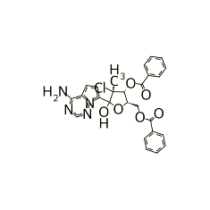 C[C@@]1(Cl)[C@H](OC(=O)c2ccccc2)[C@@H](COC(=O)c2ccccc2)OC1(O)c1ccc2c(N)ncnn12